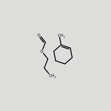 CC1=CCCCC1.CCCOC=O